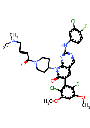 COc1cc(OC)c(Cl)c(-c2cc3cnc(Nc4ccc(F)c(Cl)c4)nc3n(C3CCN(C(=O)C=CCN(C)C)CC3)c2=O)c1Cl